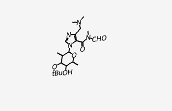 CC1OC(n2cnc(CN(C)C)c2C(=O)N(C)C=O)C(C)C(OC(C)(C)C)C1O